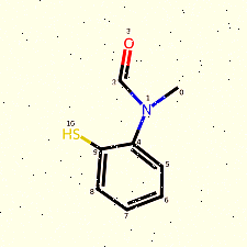 CN(C=O)c1ccccc1S